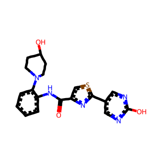 O=C(Nc1ccccc1N1CCC(O)CC1)c1csc(-c2cnc(O)nc2)n1